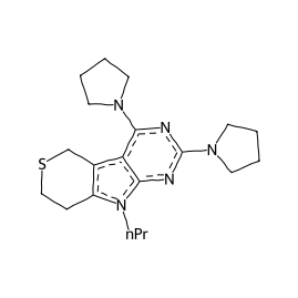 CCCn1c2c(c3c(N4CCCC4)nc(N4CCCC4)nc31)CSCC2